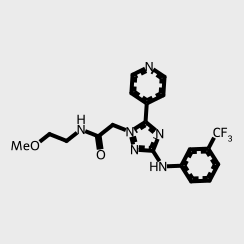 COCCNC(=O)Cn1nc(Nc2cccc(C(F)(F)F)c2)nc1-c1ccncc1